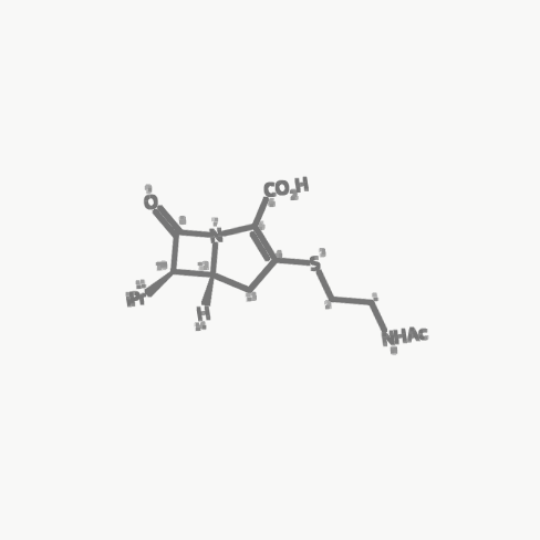 CC(=O)NCCSC1=C(C(=O)O)N2C(=O)[C@H](C(C)C)[C@H]2C1